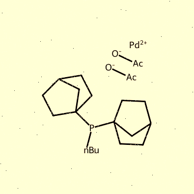 CC(=O)[O-].CC(=O)[O-].CCCCP(C12CCC(CC1)C2)C12CCC(CC1)C2.[Pd+2]